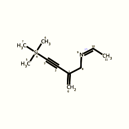 C=C(C#C[Si](C)(C)C)C/N=C\C